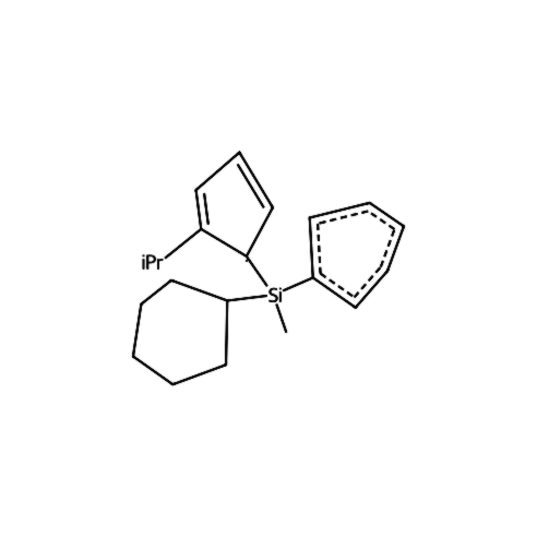 CC(C)C1=CC=C[C]1[Si](C)(c1ccccc1)C1CCCCC1